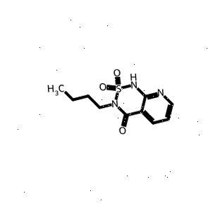 CCCCN1C(=O)c2cccnc2NS1(=O)=O